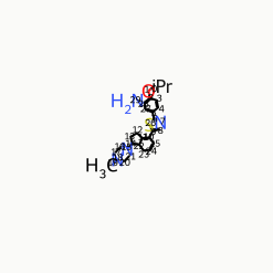 CC(C)Oc1ccc(-c2ncc(C3=C4CCC(N5CCN(C)CC5)C4CC=C3)s2)cc1N